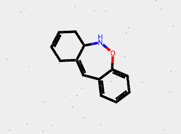 C1=CCC2NOc3ccccc3C=C2C1